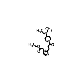 CCOC(=O)Cn1ccnc1CCC(=O)N1CCC(N(CC)CC)CC1